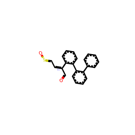 O=C/C(=C/C=S=O)c1ccccc1-c1ccccc1-c1ccccc1